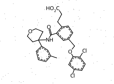 Cc1cccc(C2(NC(=O)c3cc(COc4cc(Cl)ccc4Cl)ccc3CCC(=O)O)CCOCC2)c1